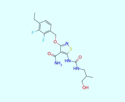 CCc1ccc(COc2nsc(NC(=O)NCC(C)CO)c2C(N)=O)c(F)c1F